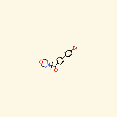 CC(C)(C(=O)c1ccc(-c2ccc(Br)cc2)cc1)N1CCOCC1